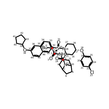 CC(C)(C)OC(=O)NC1CC2CCC(C1)N2C(=O)[C@@H]1C[C@@H](Oc2ccc(Cl)cc2)CCN1S(=O)(=O)c1ccc2cc(OC3CCCC3)ccc2c1